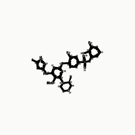 COc1c(Nc2cc(C)[nH]n2)nc(Sc2ccc(S(=O)(=O)Cc3cccc(F)c3F)cc2F)nc1N1CCOC[C@@H]1C